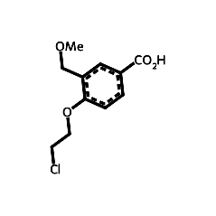 COCc1cc(C(=O)O)ccc1OCCCl